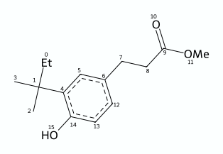 CCC(C)(C)c1cc(CCC(=O)OC)ccc1O